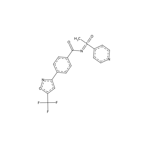 CS(=O)(=NC(=O)c1ccc(-c2cc(C(F)(F)F)on2)cc1)c1ccncc1